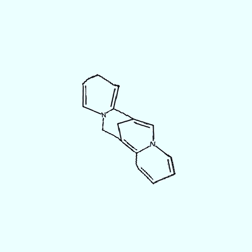 C1=CC2=C3CC(=CN2C=C1)C1=CCC=CN1C3